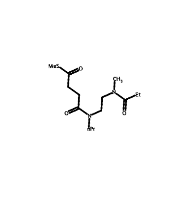 CCCN(CCN(C)C(=O)CC)C(=O)CCC(=O)SC